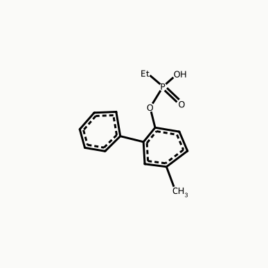 CCP(=O)(O)Oc1ccc(C)cc1-c1ccccc1